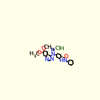 COc1cc2ncnc(Nc3ccc(C(=O)Nc4ccccc4)cc3)c2cc1OC.Cl